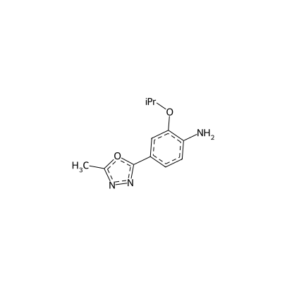 Cc1nnc(-c2ccc(N)c(OC(C)C)c2)o1